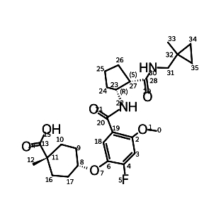 COc1cc(F)c(O[C@H]2CC[C@@](C)(C(=O)O)CC2)cc1C(=O)N[C@@H]1CCC[C@@H]1C(=O)NCC1(C)CC1